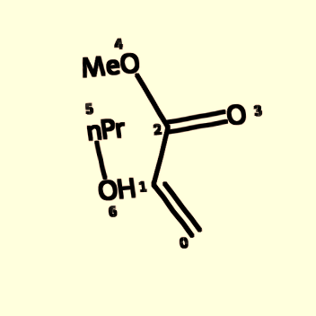 C=CC(=O)OC.[CH2]CCO